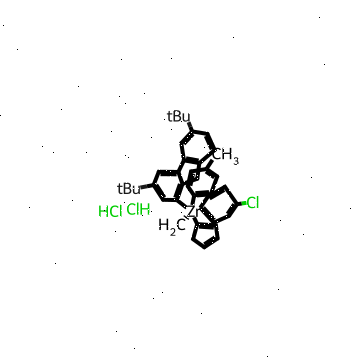 Cl.Cl.[CH2]=[Zr]([C]1=CC=CC1)([c]1ccc(C)cc1)([c]1ccc(Cl)cc1)[c]1cc(C(C)(C)C)cc2c1Cc1ccc(C(C)(C)C)cc1-2